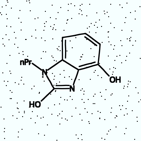 CCCn1c(O)nc2c(O)cccc21